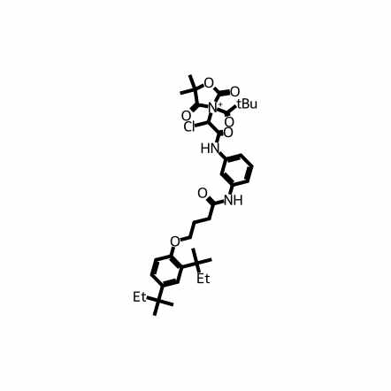 CCC(C)(C)c1ccc(OCCCC(=O)Nc2cccc(NC(=O)C(Cl)[N+]3(C(=O)C(C)(C)C)C(=O)OC(C)(C)C3=O)c2)c(C(C)(C)CC)c1